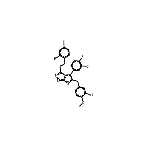 COc1ccc(Cc2sc3nnc(SCc4ccc(F)cc4F)n3c2-c2ccc(F)c(Cl)c2)cc1Cl